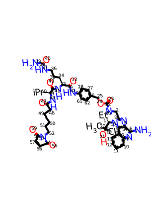 CCN(Cc1nc2c(N)nc3ccccc3c2n1CC(C)(C)O)C(=O)OCc1ccc(NC(=O)[C@H](CCCNC(N)=O)NC(=O)[C@@H](NC(=O)CCCCCN2C(=O)C=CC2=O)C(C)C)cc1